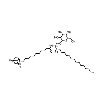 CCCCCCCCCCCCCCCC(O)[C@H](COC1OC(CO)C(O)C(O)C1O)NC(=O)CCCCCCCCCCC1=CC[C@H]2C[C@@H]1C2(C)C